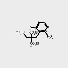 CCOC(=O)CC(Cc1c(C)cccc1[N+](=O)[O-])(C(=O)OCC)C(=O)OCC